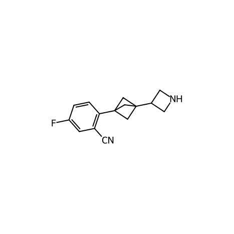 N#Cc1cc(F)ccc1C12CC(C3CNC3)(C1)C2